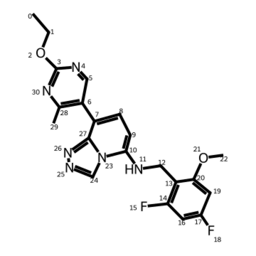 CCOc1ncc(-c2ccc(NCc3c(F)cc(F)cc3OC)n3cnnc23)c(C)n1